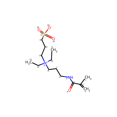 C=C(C)C(=O)NCCC[N+](CC)(CC)CCCS(=O)(=O)[O-]